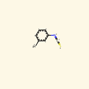 CC(C)c1cccc(N=C=S)c1